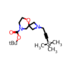 CC(C)(C)OC(=O)N1CCOC2(CN(CC#C[Si](C)(C)C)C2)C1